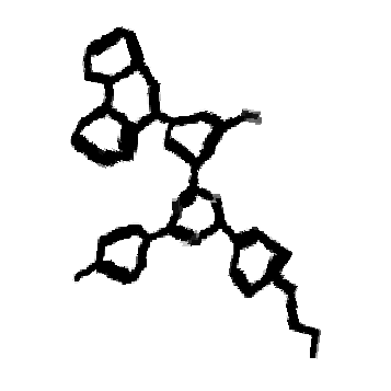 Bc1cc(-c2nc(-c3ccc(C)cc3)nc(-c3ccc(CCCC)cc3)n2)cc(-c2cc3ccccc3c3ccccc23)c1